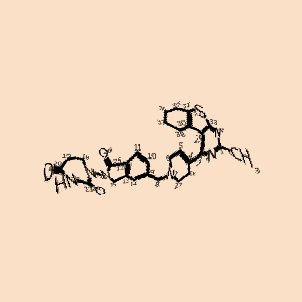 Cc1nc(C2=CCN(Cc3ccc4c(c3)CN(N3CCC(=O)NC3=O)C4=O)CC2)c2c3c(sc2n1)CCCC3